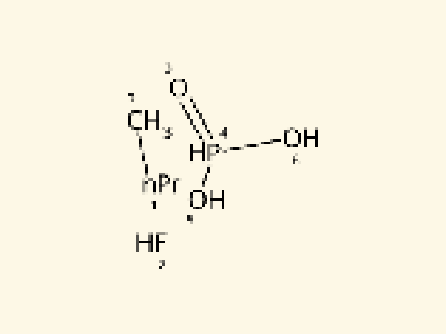 CCCC.F.O=[PH](O)O